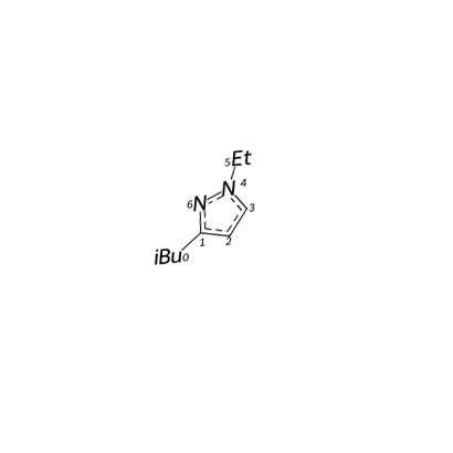 CCC(C)c1ccn(CC)n1